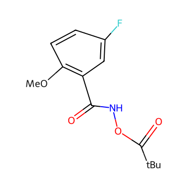 COc1ccc(F)cc1C(=O)NOC(=O)C(C)(C)C